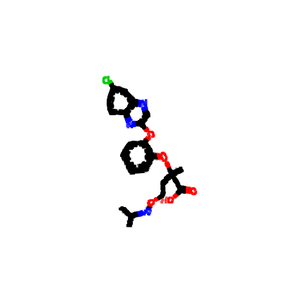 CC(C)=NOCCC(C)(Oc1ccccc1Oc1cnc2cc(Cl)ccc2n1)C(=O)O